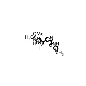 COC[C@H](C)Nc1ncc2c(-c3ccn4ncc(C(=O)NC5CCN(C)CC5)c4c3)c[nH]c2n1